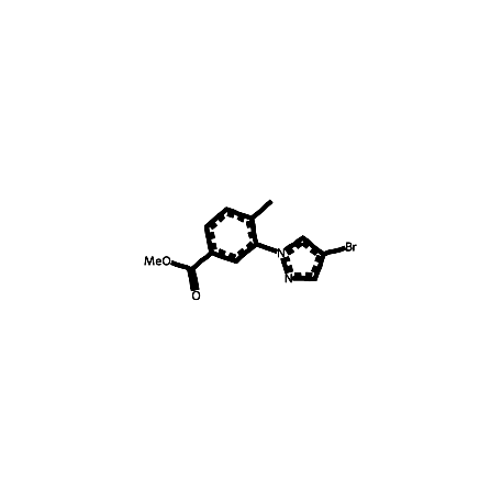 COC(=O)c1ccc(C)c(-n2cc(Br)cn2)c1